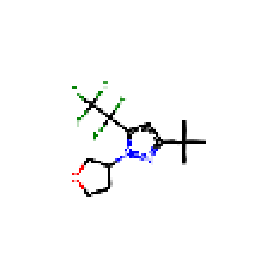 CC(C)(C)c1cc(C(F)(F)C(F)(F)F)n(C2CCOC2)n1